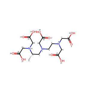 C[C@@H](CN(CCN(CC(=O)O)CC(=O)O)CC(=O)O)N(CC(=O)O)CC(=O)O